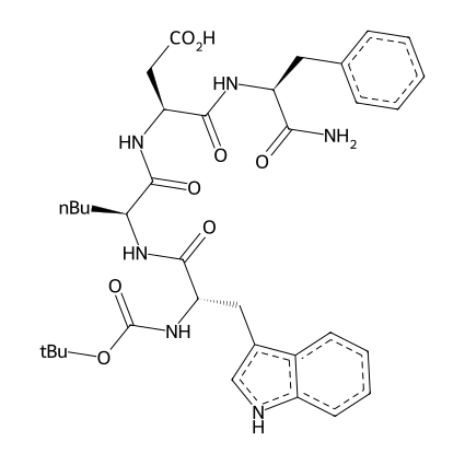 CCCC[C@H](NC(=O)[C@H](Cc1c[nH]c2ccccc12)NC(=O)OC(C)(C)C)C(=O)N[C@@H](CC(=O)O)C(=O)N[C@@H](Cc1ccccc1)C(N)=O